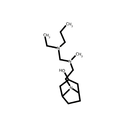 CCCN(CC)CN(C)CCN1C2CCC1CC(O)C2